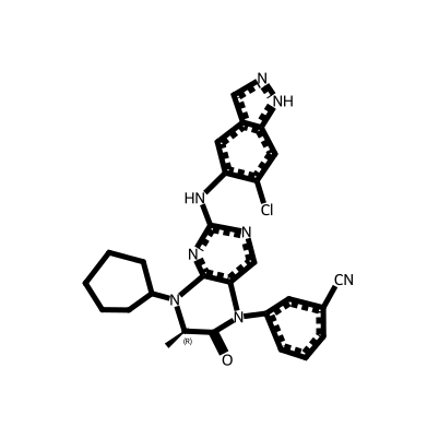 C[C@@H]1C(=O)N(c2cccc(C#N)c2)c2cnc(Nc3cc4cn[nH]c4cc3Cl)nc2N1C1CCCCC1